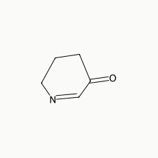 O=C1C=NCCC1